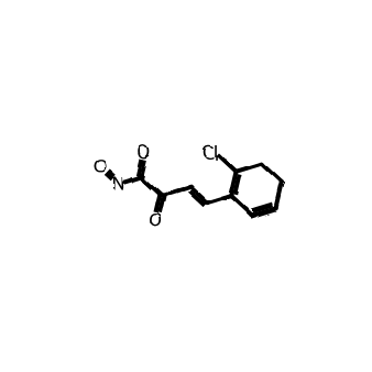 O=NC(=O)C(=O)/C=C/C1=C(Cl)CCC=C1